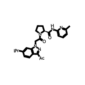 CC(=O)c1nn(CC(=O)N2CCC[C@H]2C(=O)Nc2cccc(C)n2)c2cc(C(C)C)ccc12